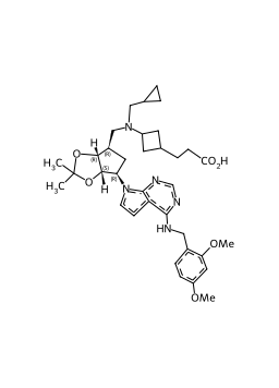 COc1ccc(CNc2ncnc3c2ccn3[C@@H]2C[C@H](CN(CC3CC3)C3CC(CCC(=O)O)C3)[C@H]3OC(C)(C)O[C@H]32)c(OC)c1